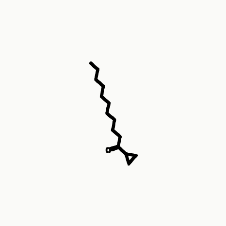 CCCCCCCCCCC(=O)C1CC1